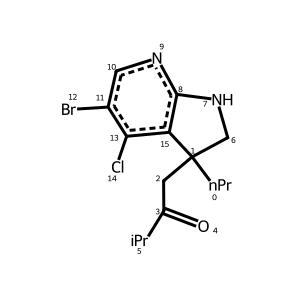 CCCC1(CC(=O)C(C)C)CNc2ncc(Br)c(Cl)c21